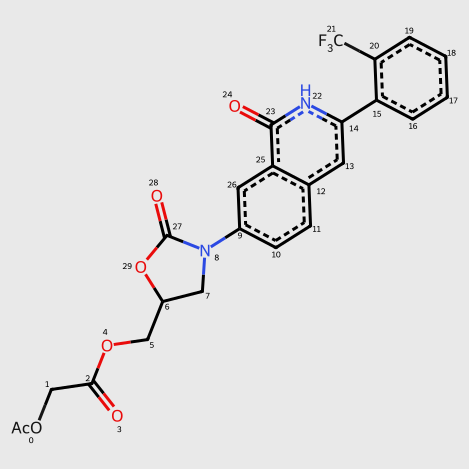 CC(=O)OCC(=O)OCC1CN(c2ccc3cc(-c4ccccc4C(F)(F)F)[nH]c(=O)c3c2)C(=O)O1